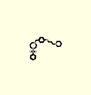 O=S(=O)(c1ccccc1)N1CCCN(Cc2ccc(OCCCN3CCCCC3)cc2)CC1